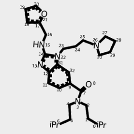 CC(C)CCN(CCC(C)C)C(=O)c1ccc2nc(NCc3ccco3)n(CCCN3CCCC3)c2c1